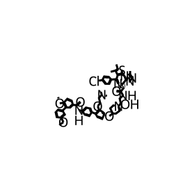 COc1cccc(-c2cc(C(=O)Nc3ccc(-c4ccc(OC5CCN(C(O)CNC(=O)C[C@@H]6N=C(c7ccc(Cl)cc7)c7c(sc(C)c7C)-n7c(C)nnc76)CC5)cc4OCCN(C)C)cc3)ccc2OC)c1